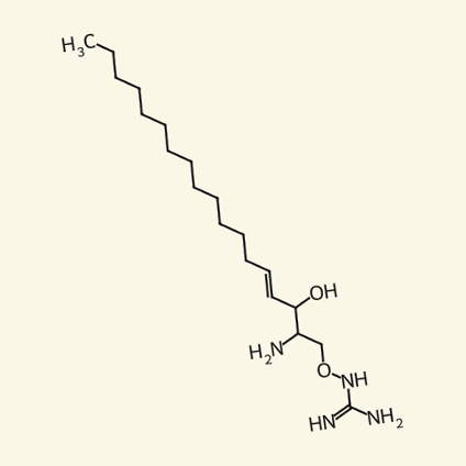 CCCCCCCCCCCCCC=CC(O)C(N)CONC(=N)N